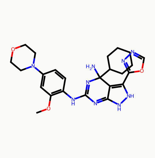 COc1cc(N2CCOCC2)ccc1NC1=NC(N)(C2CCCCC2)C2=C(c3nnco3)NNC2=N1